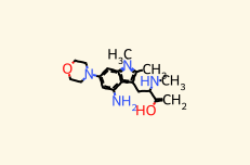 C=C(O)C(Cc1c(C)n(C)c2cc(N3CCOCC3)cc(N)c12)NC